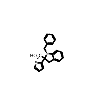 O=C(O)C1(c2cccs2)Cc2ccccc2N1Cc1ccccc1